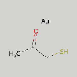 CC(=O)CS.[Au]